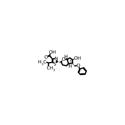 CC(C)c1sc([C@H]2CC[C@@H]3[C@@H](COc4ccccc4)[C@H](O)C[C@@H]3O2)nc1C(=O)O